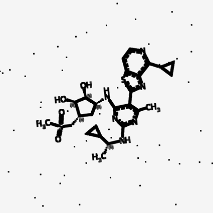 Cc1nc(N[C@H](C)C2CC2)nc(N[C@@H]2C[C@H](CS(C)(=O)=O)[C@@H](O)[C@H]2O)c1-c1nc2c(C3CC3)nccc2s1